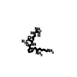 CC(C)[C@H](CCCNC(=N)N)NC(=O)C1CCCN1CC(N)CCCCN